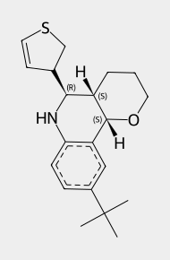 CC(C)(C)c1ccc2c(c1)[C@H]1OCCC[C@H]1[C@H](C1C=CSC1)N2